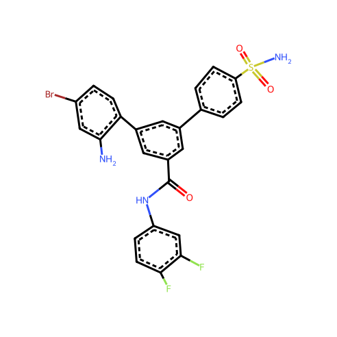 Nc1cc(Br)ccc1-c1cc(C(=O)Nc2ccc(F)c(F)c2)cc(-c2ccc(S(N)(=O)=O)cc2)c1